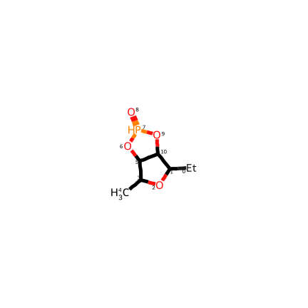 CCC1OC(C)C2O[PH](=O)OC12